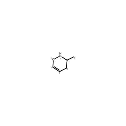 CN1C[C]=CON1